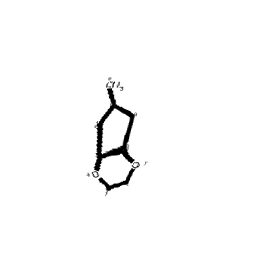 CC1CC2OCCOC2C1